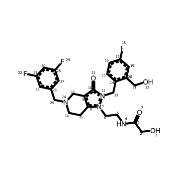 O=C(CO)NCCn1c2c(c(=O)n1Cc1ccc(F)cc1CO)CN(Cc1cc(F)cc(F)c1)CC2